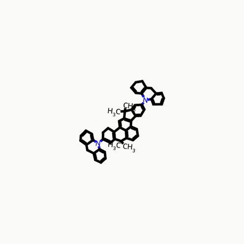 CC1(C)C2=C(CCC(N3c4ccccc4Cc4ccccc43)=C2)c2cc3c(c4cccc1c24)-c1ccc(N2C4=C(CCC=C4)Cc4ccccc42)cc1C3(C)C